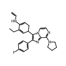 C=CNC1=CCC(c2c(-c3ccc(F)cc3)nc3c(N4CCCC4)nccn23)C=C1CC